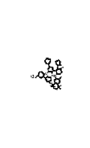 Cc1cc2c(cc1N1B3c4c(cc(-c5ccccc5)cc4-n4c5ccc(C(C)(C)C)cc5c5cc(C(C)(C)C)cc3c54)-c3c1ccc1sc4ccccc4c31)C(C)(C)CCC2(C)C